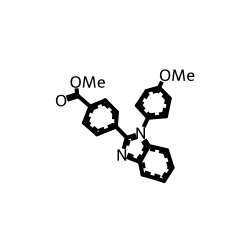 COC(=O)c1ccc(-c2nc3ccccc3n2-c2ccc(OC)cc2)cc1